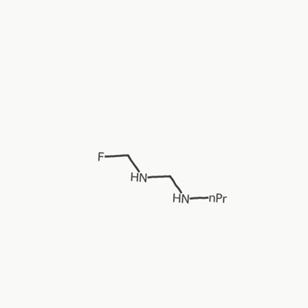 CCCNCNCF